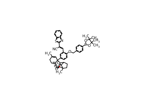 CC1=CC(c2ccc(OCc3ccc(B4OC(C)(C)C(C)(C)O4)cc3)c(C=C(C#N)c3nc4ccccc4s3)c2)(C2C(=O)C3(C)CCC2C3(C)C)C(C(C)C)CC1